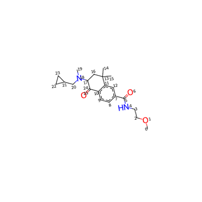 COCCNC(=O)c1ccc2c(c1)C(C)(C)CC(N(C)CC1CC1)C2=O